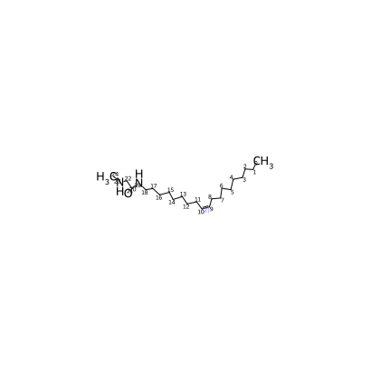 CCCCCCCCC/C=C\CCCCCCCCNC(=O)CNC